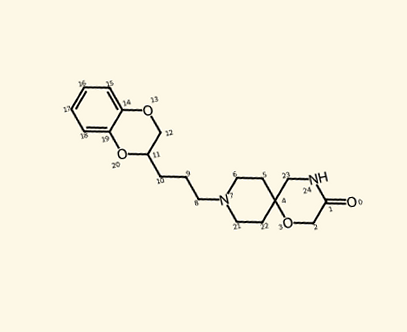 O=C1COC2(CCN(CCCC3COc4ccccc4O3)CC2)CN1